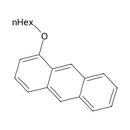 CCCCCCOc1cccc2cc3ccccc3cc12